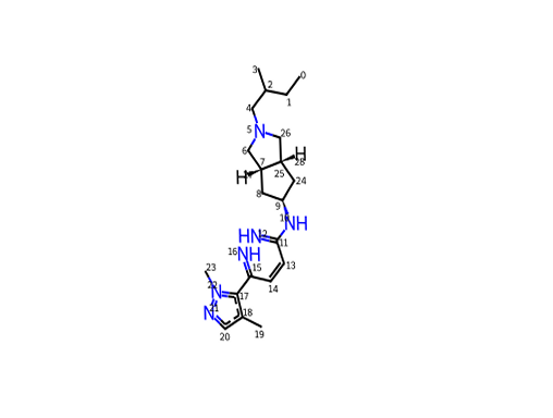 CCC(C)CN1C[C@H]2C[C@H](NC(=N)/C=C\C(=N)c3c(C)cnn3C)C[C@H]2C1